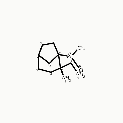 NCC1(N)CCC2CC[C]1([Pt]([Cl])[Cl])C2